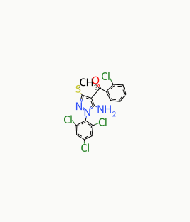 CSc1nn(-c2c(Cl)cc(Cl)cc2Cl)c(N)c1C(=O)c1ccccc1Cl